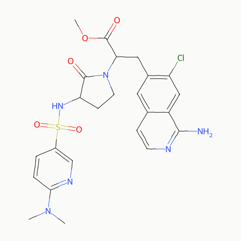 COC(=O)C(Cc1cc2ccnc(N)c2cc1Cl)N1CCC(NS(=O)(=O)c2ccc(N(C)C)nc2)C1=O